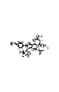 CNC(=O)c1c2cc(C3CC3)c(/C(C)=C\C(=O)O)cc2nn1-c1ccc(Br)cc1